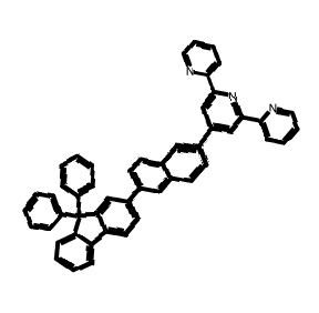 c1ccc(C2(c3ccccc3)c3ccccc3-c3ccc(-c4ccc5cc(-c6cc(-c7ccccn7)nc(-c7ccccn7)c6)ccc5c4)cc32)cc1